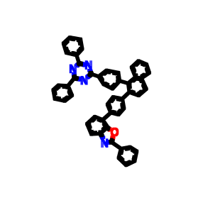 c1ccc(-c2nc(-c3ccccc3)nc(-c3ccc(-c4c(-c5ccc(-c6cccc7nc(-c8ccccc8)oc67)cc5)ccc5ccccc45)cc3)n2)cc1